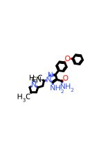 CC1CC(CC(C)n2nc(-c3ccc(Oc4ccccc4)cc3)c(C(N)=O)c2N)N(C#N)C1